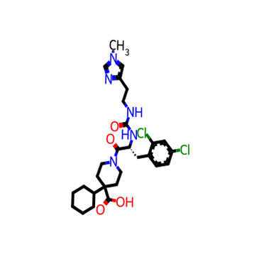 Cn1cnc(CCNC(=O)N[C@H](Cc2ccc(Cl)cc2Cl)C(=O)N2CCC(C(=O)O)(C3CCCCC3)CC2)c1